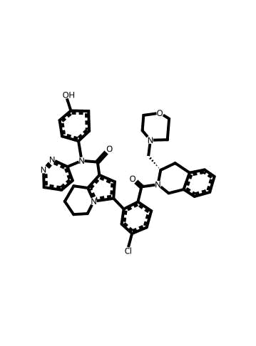 O=C(c1cc(-c2cc(Cl)ccc2C(=O)N2Cc3ccccc3C[C@H]2CN2CCOCC2)n2c1CCCC2)N(c1ccc(O)cc1)c1cccnn1